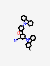 Cc1ccc2c(c1)c1ccccc1n2-c1cc(C#N)c2oc3ccc(-n4c5ccccc5c5ccccc54)cc3c2c1